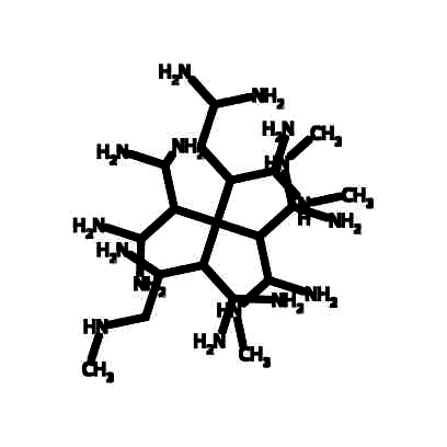 CNCC(N)C(C(N)N)C(C(CC(N)N)C(N)NC)(C(C(N)N)C(N)N)C(C(N)NC)C(N)NC